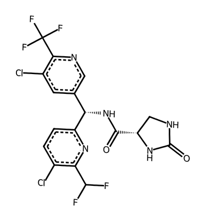 O=C1NC[C@@H](C(=O)N[C@@H](c2cnc(C(F)(F)F)c(Cl)c2)c2ccc(Cl)c(C(F)F)n2)N1